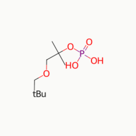 CC(C)(C)COCC(C)(C)OP(=O)(O)O